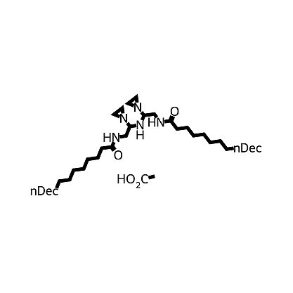 CC(=O)O.CCCCCCCCCCCCCCCCCC(=O)NCC(NC(CNC(=O)CCCCCCCCCCCCCCCCC)N1CC1)N1CC1